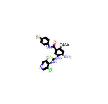 COc1cc(N)c(NC(=S)Nc2c(Cl)cncc2Cl)cc1C(=O)Nc1ccc(Br)cc1